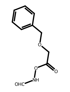 O=CNOC(=O)COCc1ccccc1